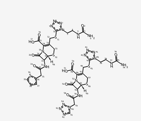 NC(=O)NCCn1nnnc1SCC1=C(C(=O)O)N2C(=O)C(NC(=O)Cc3cccs3)[C@H]2SC1.NC(=O)NCCn1nnnc1SCC1=C(C(=O)O)N2C(=O)C(NC(=O)Cn3cnnn3)[C@H]2SC1